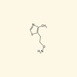 Cc1ncsc1CCON